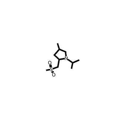 CC1CC(CS(C)(=O)=O)N(C(C)C)C1